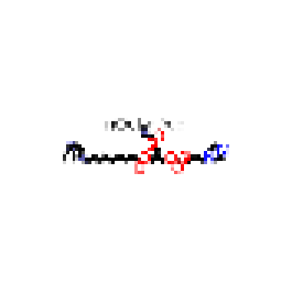 CCCCC/C=C\C/C=C\CCCCCCCC(=O)OCC(COC(=O)/C=C(/CCCCCCCC)CCCCCCCCCC)COC(=O)OCCCN1CCN(C)CC1